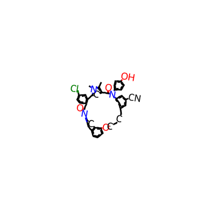 Cc1c2cc(n1C)-c1cc(Cl)ccc1C(=O)N1CCc3c(cccc3OCCCCc3cc(C#N)cc(c3)N(c3ccc(O)cc3)C2=O)C1